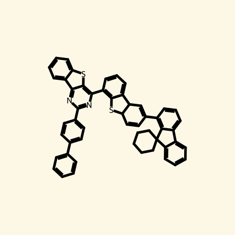 C1=CC2Sc3c(-c4nc(-c5ccc(-c6ccccc6)cc5)nc5c4sc4ccccc45)cccc3C2C=C1c1cccc2c1C1(CCCCC1)c1ccccc1-2